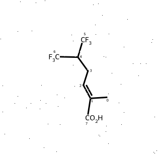 CC(=CCC(C(F)(F)F)C(F)(F)F)C(=O)O